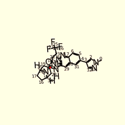 Cn1cc(-c2ccc3nnc(NC(=O)N4[C@@H]5CC[C@H]4C[C@H](NCCC(F)(F)F)C5)cc3c2)cn1